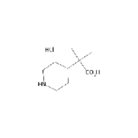 CC(C)(C(=O)O)C1CCNCC1.Cl